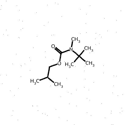 CC(C)COC(=O)N(C)C(C)(C)C